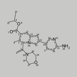 C=C(c1c(C)c(C(=O)OC(C)C)cc2cc(-c3ccc(N)nc3)cn12)N1CCOCC1